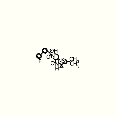 CC(C)c1csc(C2(c3nc4c(c(=O)[nH]3)CN(C(=O)[C@H](O)c3cccc(-c5cccc(F)c5)c3)CCC4)CC2)c1